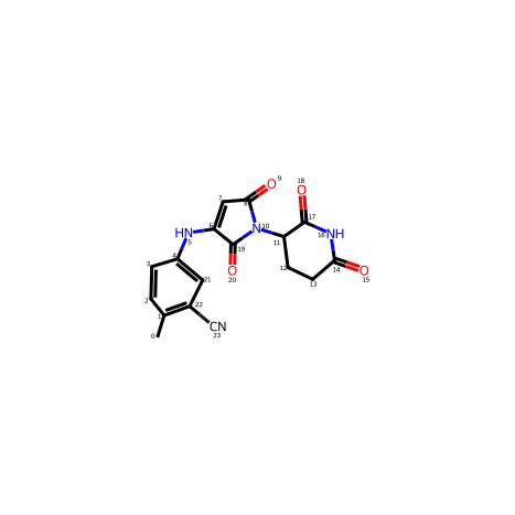 Cc1ccc(NC2=CC(=O)N(C3CCC(=O)NC3=O)C2=O)cc1C#N